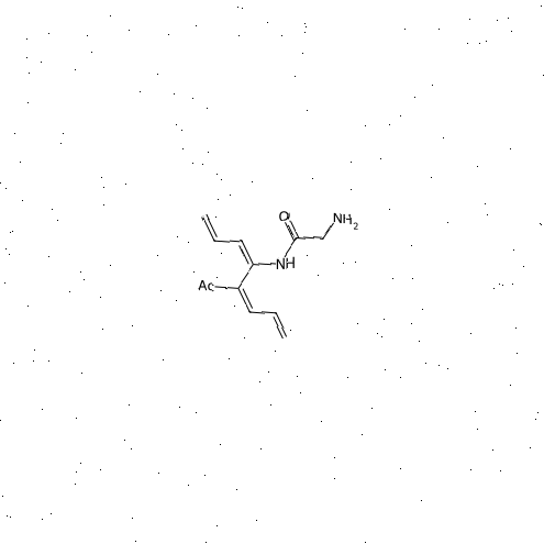 C=C/C=C(NC(=O)CN)\C(=C/C=C)C(C)=O